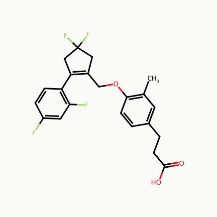 Cc1cc(CCC(=O)O)ccc1OCC1=C(c2ccc(F)cc2F)CC(F)(F)C1